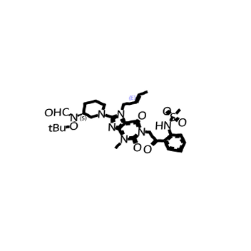 C/C=C/Cn1c(N2CCC[C@H](N(C=O)OC(C)(C)C)C2)nc2c1c(=O)n(CC(=O)c1ccccc1NS(C)(=O)=O)c(=O)n2C